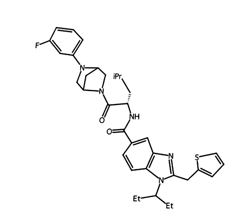 CCC(CC)n1c(Cc2cccs2)nc2cc(C(=O)N[C@@H](CC(C)C)C(=O)N3CC4CC3CN4c3cccc(F)c3)ccc21